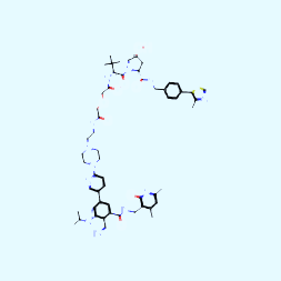 Cc1cc(C)c(CNC(=O)c2cc(-c3ccc(N4CCN(CCNC(=O)COCC(=O)N[C@H](C(=O)N5C[C@H](O)C[C@H]5C(=O)NCc5ccc(-c6scnc6C)cc5)C(C)(C)C)CC4)nc3)cc(NC(C)C)c2C=N)c(=O)[nH]1